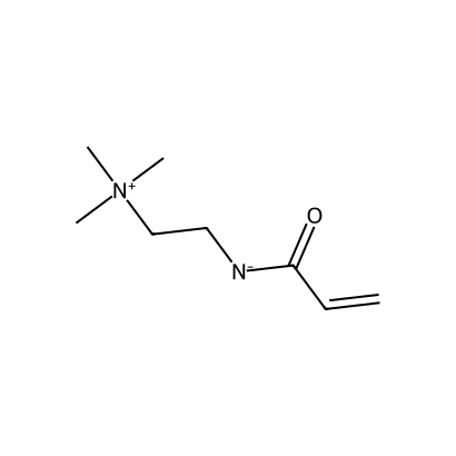 C=CC(=O)[N-]CC[N+](C)(C)C